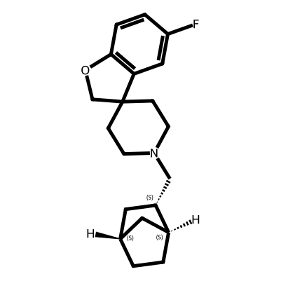 Fc1ccc2c(c1)C1(CCN(C[C@H]3C[C@H]4CC[C@H]3C4)CC1)CO2